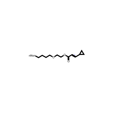 CCCCCCCCCCCCCOCCOC(=O)/C=C/C1CC1